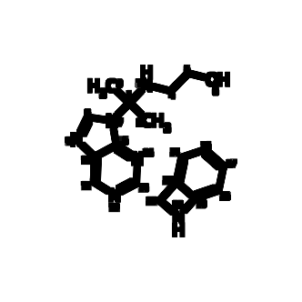 CC(C)(NCCO)n1cnc2cncnc21.c1ccc2c(c1)CN2